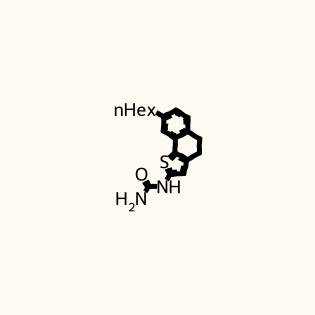 CCCCCCc1ccc2c(c1)-c1sc(NC(N)=O)cc1CC2